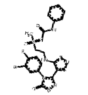 CS(=O)(CCNc1nonc1-c1noc(=O)n1-c1ccc(F)c(Br)c1)=NC(=O)Nc1ccccc1